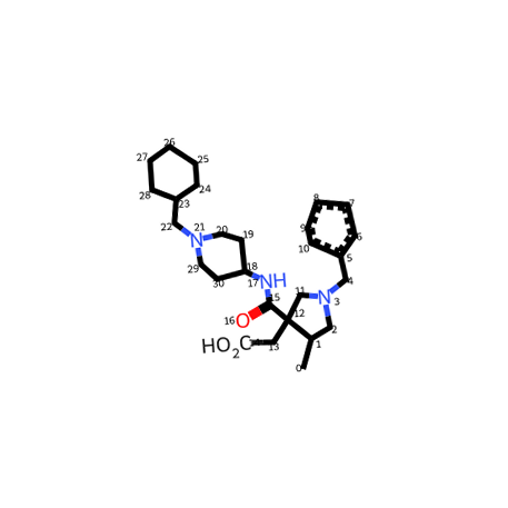 CC1CN(Cc2ccccc2)CC1(CC(=O)O)C(=O)NC1CCN(CC2CCCCC2)CC1